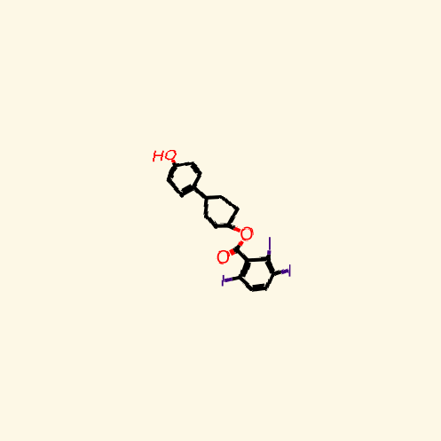 O=C(OC1CCC(c2ccc(O)cc2)CC1)c1c(I)ccc(I)c1I